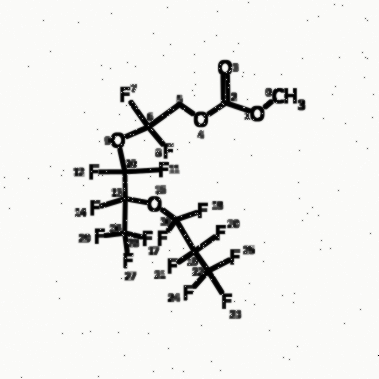 COC(=O)OCC(F)(F)OC(F)(F)C(F)(OC(F)(F)C(F)(F)C(F)(F)F)C(F)(F)F